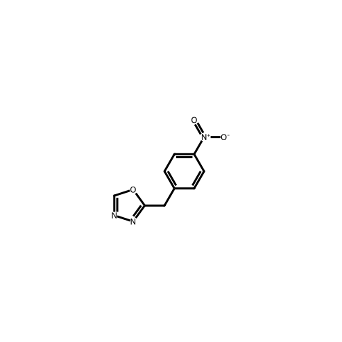 O=[N+]([O-])c1ccc(Cc2nnco2)cc1